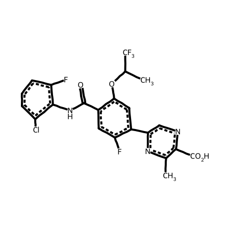 Cc1nc(-c2cc(OC(C)C(F)(F)F)c(C(=O)Nc3c(F)cccc3Cl)cc2F)cnc1C(=O)O